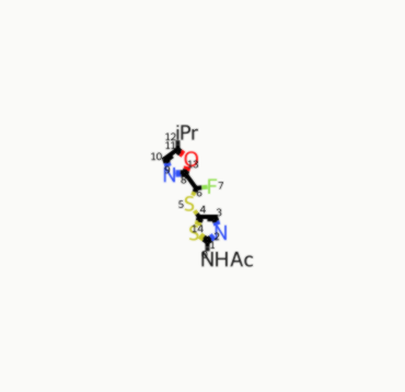 CC(=O)Nc1ncc(SC(F)c2ncc(C(C)C)o2)s1